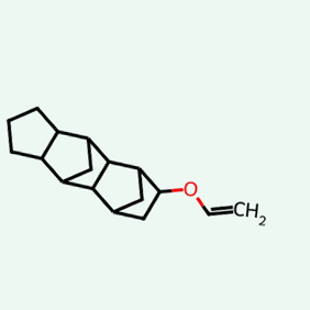 C=COC1CC2CC1C1C3CC(C4CCCC43)C21